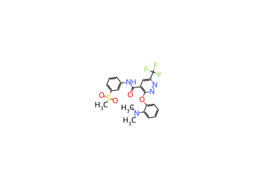 CN(C)c1ccccc1Oc1nnc(C(F)(F)F)cc1C(=O)Nc1cccc(S(C)(=O)=O)c1